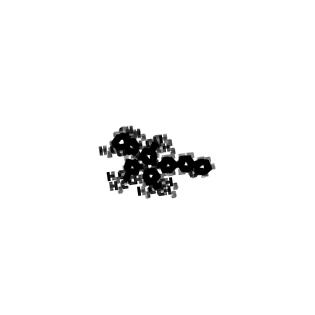 CC(C)(C)c1ccc2c(c1)B1c3ccc(C(C)(C)C)cc3N(c3ccc(-c4ccc5c(c4)oc4ccccc45)cc3)c3cc(C(C)(C)C)cc(c31)N2c1ccc2c(c1)C(C)(C)CCC2(C)C